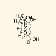 CC(=CC(CC(O)O[Si](C)(C)C)S(=O)(=O)C(F)(F)F)C(=O)O